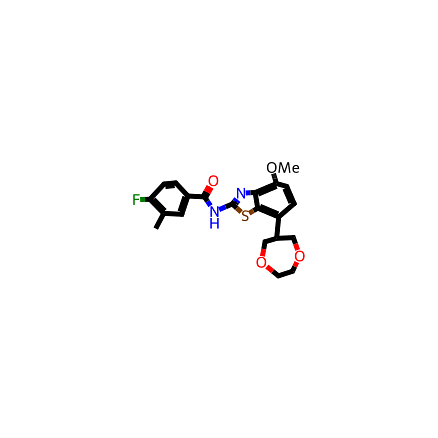 COc1ccc(C2COCCOC2)c2sc(NC(=O)c3ccc(F)c(C)c3)nc12